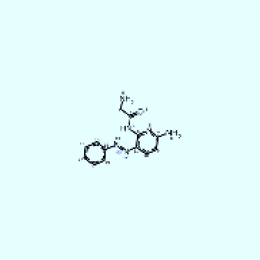 NCC(=O)Nc1nc(N)ccc1/N=N/c1ccccc1